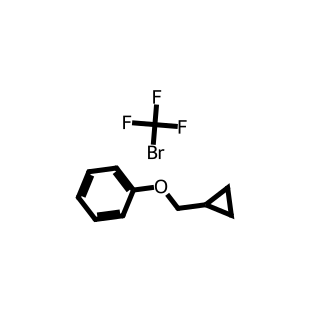 FC(F)(F)Br.c1ccc(OCC2CC2)cc1